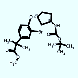 COC(=O)C(C)(C)c1ccc(O[C@@H]2CC[C@@H](NC(=O)OC(C)(C)C)C2)c(Br)c1